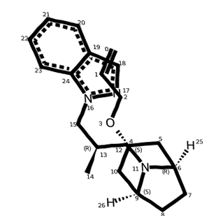 C=CCO[C@@H]1C[C@H]2CC[C@@H](C1)N2C[C@@H](C)Cn1ncc2ccccc21